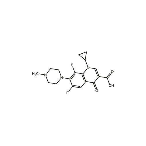 CN1CCN(c2c(F)cc3c(=O)c(C(=O)O)cn(C4CC4)c3c2F)CC1